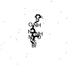 C[C@H]1CCCN1CCNC(=O)c1cnc2c(c1)[nH]c(=O)c1c2nn2cc(Br)sc12